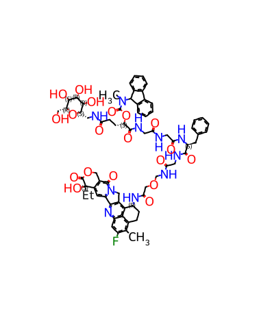 CC[C@@]1(O)C(=O)OCc2c1cc1n(c2=O)Cc2c-1nc1cc(F)c(C)c3c1c2[C@@H](NC(=O)COCNC(=O)CNC(=O)[C@H](Cc1ccccc1)NC(=O)CNC(=O)CNC(=O)[C@H](CCC(=O)NC[C@@H]1O[C@H](CO)[C@@H](O)[C@H](O)[C@H]1O)OC(=O)N(C)C1c2ccccc2-c2ccccc21)CC3